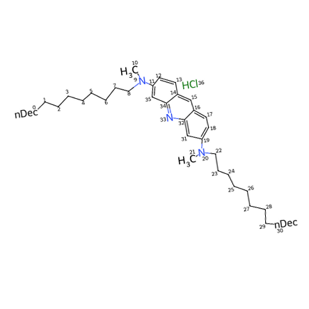 CCCCCCCCCCCCCCCCCCN(C)c1ccc2cc3ccc(N(C)CCCCCCCCCCCCCCCCCC)cc3nc2c1.Cl